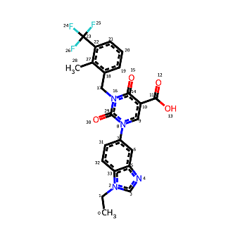 CCn1cnc2cc(-n3cc(C(=O)O)c(=O)n(Cc4cccc(C(F)(F)F)c4C)c3=O)ccc21